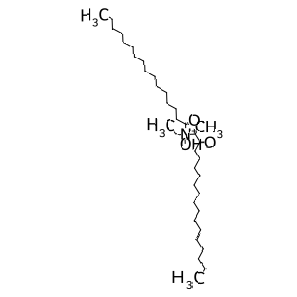 CCCCCCCCCCCCCCCC(=O)C(C)[N+](O)(CC)C(=O)CCCCCCCCCCCCCCC